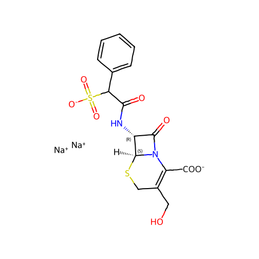 O=C([O-])C1=C(CO)CS[C@H]2[C@H](NC(=O)C(c3ccccc3)S(=O)(=O)[O-])C(=O)N12.[Na+].[Na+]